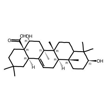 CC1(C)CC[C@]2(C(=O)O)[C@H](O)C[C@]3(C)C(=CC[C@@H]4[C@@]5(C)CC[C@H](O)C(C)(C)C5CC[C@]43C)[C@H]2C1